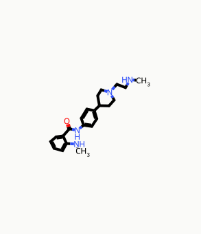 CNCCN1CCC(c2ccc(NC(=O)c3ccccc3NC)cc2)CC1